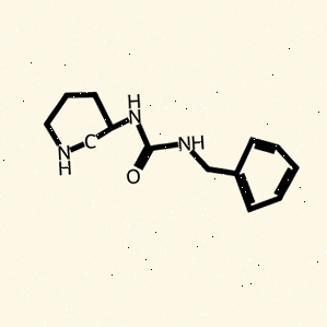 O=C(NCc1ccccc1)NC1CCCNC1